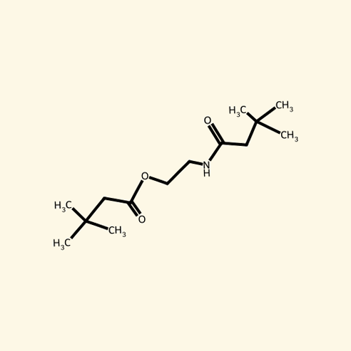 CC(C)(C)CC(=O)NCCOC(=O)CC(C)(C)C